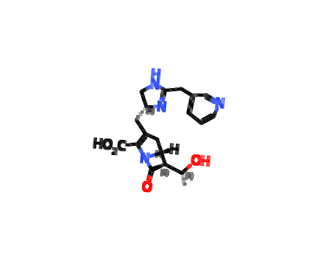 C[C@@H](O)[C@H]1C(=O)N2C(C(=O)O)=C(C[C@@H]3CNC(Cc4cccnc4)=N3)C[C@H]12